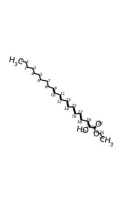 CCCCCCCCCC=CC=CC=CC=CC=CC=C(O)C(=O)OCC